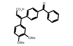 COc1ccc(/C(=C/C(=O)O)c2ccc(C(=O)c3ccccc3)cc2)cc1OC